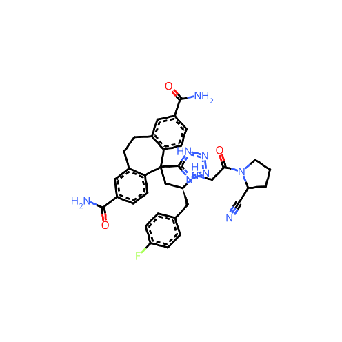 N#CC1CCCN1C(=O)CN[C@@H](Cc1ccc(F)cc1)CC1(c2nnn[nH]2)c2ccc(C(N)=O)cc2CCc2cc(C(N)=O)ccc21